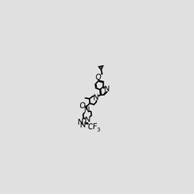 CC1CN(c2ccnc3cc(OCC4CC4)ccc23)CCC1C(=O)N1CCn2c(nnc2C(F)(F)F)C1